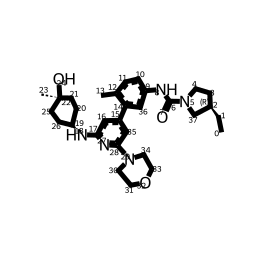 CC[C@@H]1CCN(C(=O)Nc2ccc(C)c(-c3cc(N[C@H]4CC[C@](C)(O)CC4)nc(N4CCOCC4)c3)c2)C1